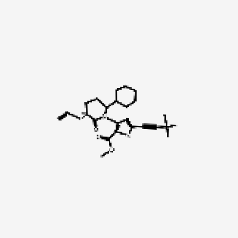 C=CC[C@@H]1CCC(C2CCCCC2)N(c2cc(C#CC(C)(C)C)sc2C(=O)OC)C1=O